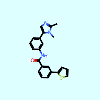 Cc1ncc(-c2cccc(NC(=O)c3cccc(-c4cccs4)c3)c2)n1C